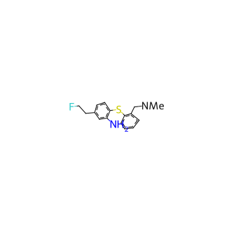 CNCc1ccccc1Sc1ccc(CCF)cc1N